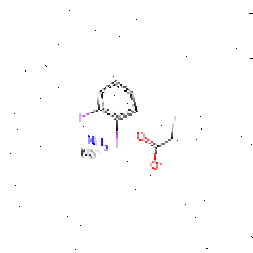 CCC(=O)[O-].Ic1ccccc1I.N.[Na+]